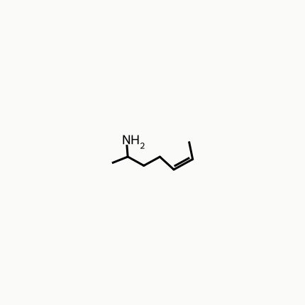 C/C=C\CCC(C)N